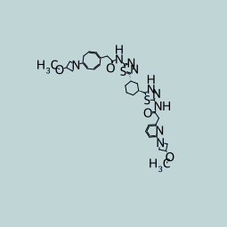 COC1CN(/C2=C/C=C\C(CC(=O)Nc3nnc([C@H]4CCC[C@H](C5NN=C(NC(=O)Cc6cccc(N7CC(OC)C7)n6)S5)C4)s3)=C=CC2)C1